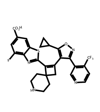 O=C(O)c1cc(F)c2nc(C3=C(c4c(-c5cnccc5C(F)(F)F)noc4C4CC4)CC34CCNCC4)sc2c1